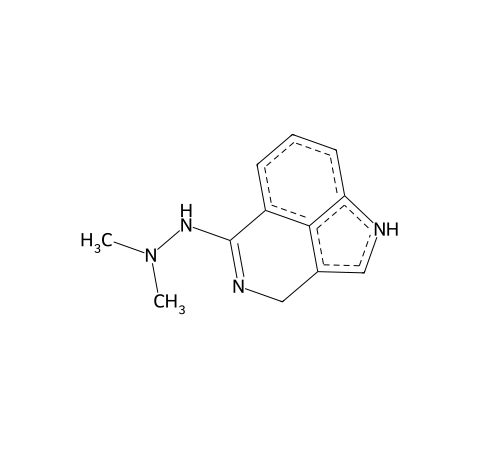 CN(C)NC1=NCc2c[nH]c3cccc1c23